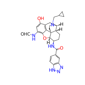 O=CNc1cc(O)c2c3c1O[C@H]1[C@H](NC(=O)c4ccc5[nH]nnc5c4)CC[C@H]4[C@@H](C2)N(CC2CC2)CC[C@@]341